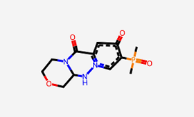 CP(C)(=O)c1cn2c(cc1=O)C(=O)N1CCOCC1N2